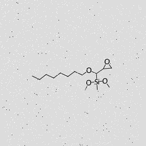 CCCCCCCCOC(C1CO1)[Si](C)(OC)OC